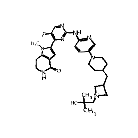 Cn1c(-c2nc(Nc3ccc(N4CCC(CC5CN(CC(C)(C)O)C5)CC4)cn3)ncc2F)cc2c1CCNC2=O